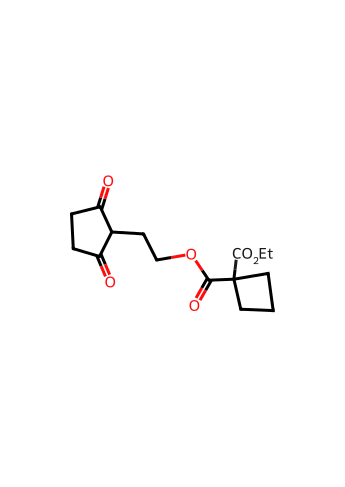 CCOC(=O)C1(C(=O)OCCC2C(=O)CCC2=O)CCC1